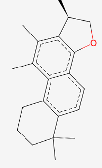 Cc1c2c(c3ccc4c(c3c1C)CCCC4(C)C)OC[C@@H]2C